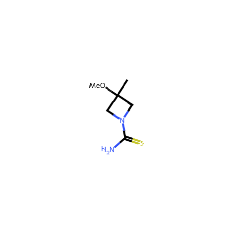 COC1(C)CN(C(N)=S)C1